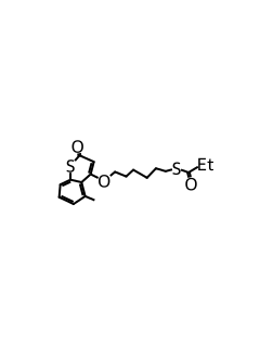 CCC(=O)SCCCCCCOc1cc(=O)sc2cccc(C)c12